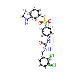 O=C(NCc1cccc(Cl)c1Cl)Nc1ccc(S(=O)(=O)Cc2ccc3c(c2)NCC3)cc1